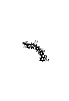 O=c1[nH]cccc1-c1ccc(N[C@H]2CC[C@H](Nc3nc4cc(C(F)(F)F)ccn4n3)C2)nc1